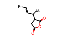 CC/C=C/C(CC)C1CC(=O)OC1=O